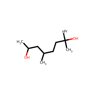 CCCC(C)(O)CCC(C)CC(C)O